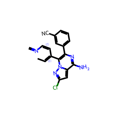 C=N/C=C\C(=C/C)c1c(-c2cccc(C#N)c2)nc(N)c2cc(Cl)nn12